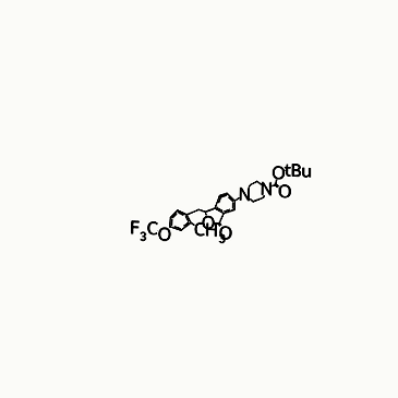 Cc1cc(OC(F)(F)F)ccc1CC1OC(=O)c2cc(N3CCN(C(=O)OC(C)(C)C)CC3)ccc21